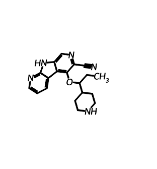 CCC(Oc1c(C#N)ncc2[nH]c3ncccc3c12)C1CCNCC1